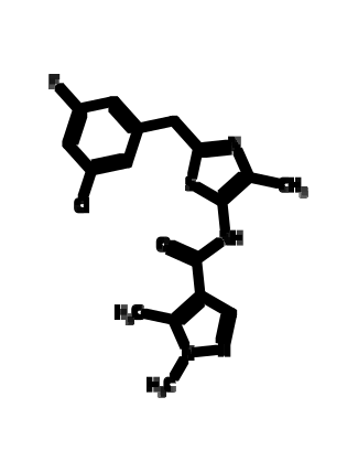 Cc1nc(Cc2cc(F)cc(Cl)c2)sc1NC(=O)c1cnn(C)c1C